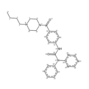 CCCCN1CCN(C(=O)c2ccc(NC(=O)N(c3ccccc3)c3ncncn3)cc2)CC1